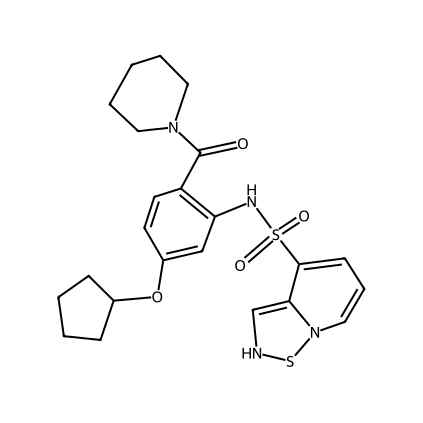 O=C(c1ccc(OC2CCCC2)cc1NS(=O)(=O)C1=CC=CN2SNC=C12)N1CCCCC1